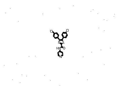 O=C(Nc1ccncc1)c1nc(-c2ccc(Cl)cc2)c(-c2ccc(Cl)cc2)s1